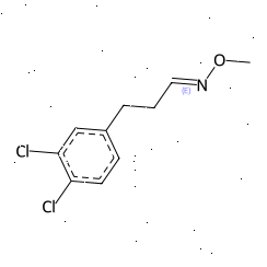 CO/N=C/CCc1ccc(Cl)c(Cl)c1